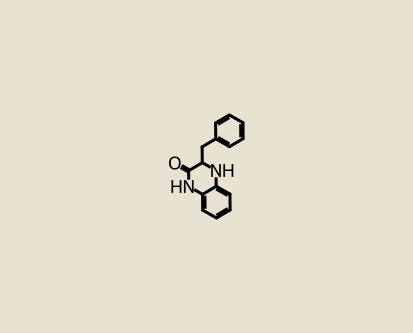 O=C1Nc2ccccc2NC1Cc1ccccc1